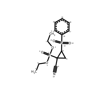 CCOP(=O)(OCC)C1(C#N)CC1S(=O)(=O)c1ccccc1